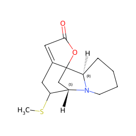 CSC1CC2=CC(=O)OC23C[C@@H]1N1CCCC[C@@H]13